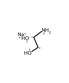 NCCO.[Na+].[OH-]